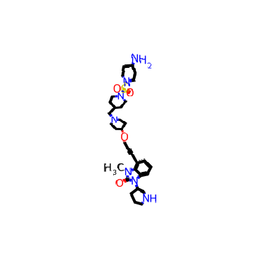 Cn1c(=O)n(C2CCCNC2)c2cccc(C#CCOC3CCN(CC4CCN(S(=O)(=O)N5CCC(N)CC5)CC4)CC3)c21